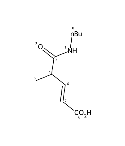 CCCCNC(=O)C(C)C=CC(=O)O